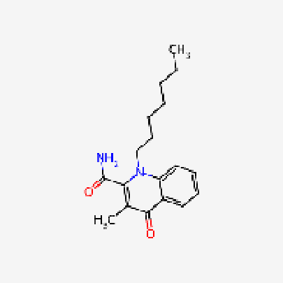 CCCCCCCn1c(C(N)=O)c(C)c(=O)c2ccccc21